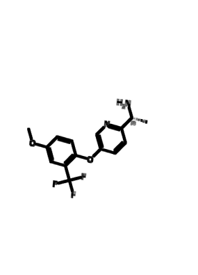 COc1ccc(Oc2ccc([C@@H](C)N)nc2)c(C(F)(F)F)c1